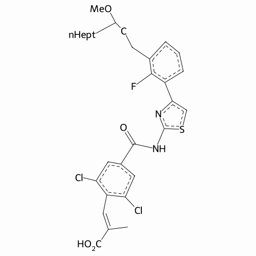 CCCCCCCC(CCc1cccc(-c2csc(NC(=O)c3cc(Cl)c(/C=C(\C)C(=O)O)c(Cl)c3)n2)c1F)OC